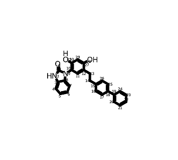 O=c1[nH]c2ccccc2n1-c1cc(CCc2ccc(-c3ccccc3)cc2)c(O)cc1O